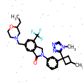 CCC1CN(Cc2cc3c(c(C(F)(F)F)c2)CN(c2cccc(C4(c5nncn5C)CC(C)C4)c2)C3=O)CCO1